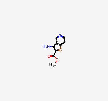 COC(=O)c1sc2ccncc2c1N